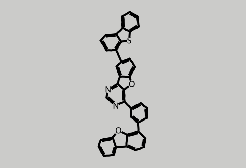 c1cc(-c2cccc3c2oc2ccccc23)cc(-c2ncnc3c2oc2ccc(-c4cccc5c4sc4ccccc45)cc23)c1